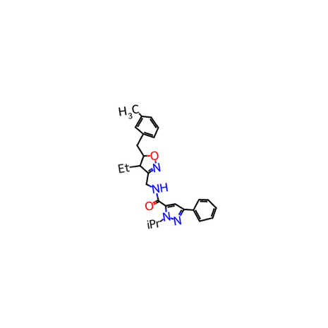 CCC1C(CNC(=O)c2cc(-c3ccccc3)nn2C(C)C)=NOC1Cc1cccc(C)c1